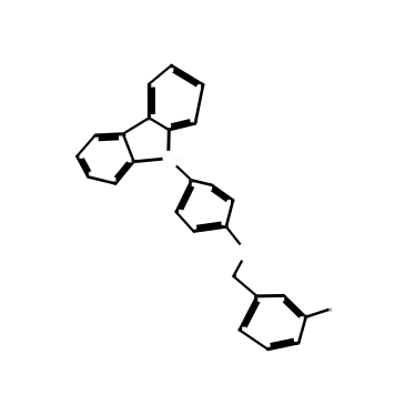 Fc1cccc(COc2ccc([SH]3c4ccccc4-c4ccccc43)cc2)c1